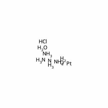 Cl.N.N.N.N.O.O.[Pt]